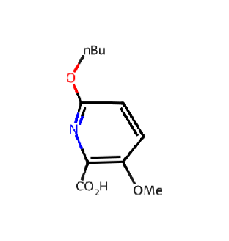 CCCCOc1ccc(OC)c(C(=O)O)n1